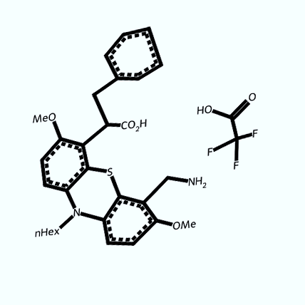 CCCCCCN1c2ccc(OC)c(CN)c2Sc2c1ccc(OC)c2C(Cc1ccccc1)C(=O)O.O=C(O)C(F)(F)F